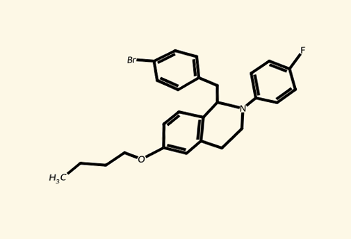 CCCCOc1ccc2c(c1)CCN(c1ccc(F)cc1)C2Cc1ccc(Br)cc1